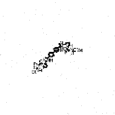 CCNC(=O)N[C@H](C(=O)N1CCC[C@H]1c1ncc(-c2ccc(C34CCC(c5cnc([C@@H]6CCCN6C(=O)[C@@H](NC(=O)OC)C(C)C)[nH]5)(CC3)CC4)cc2)[nH]1)C(C)C